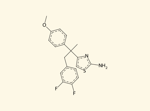 COc1ccc(C(C)(Cc2ccc(F)c(F)c2)c2csc(N)n2)cc1